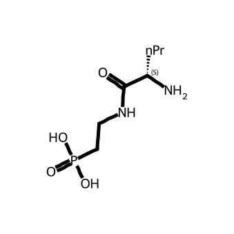 CCC[C@H](N)C(=O)NCCP(=O)(O)O